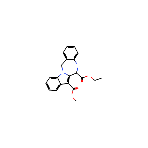 CCOC(=O)C1Nc2ccccc2Cn2c1c(C(=O)OC)c1ccccc12